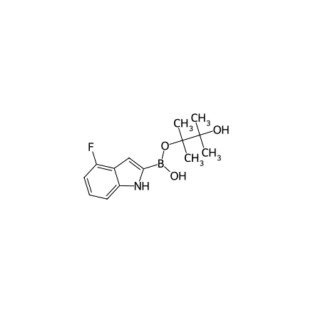 CC(C)(O)C(C)(C)OB(O)c1cc2c(F)cccc2[nH]1